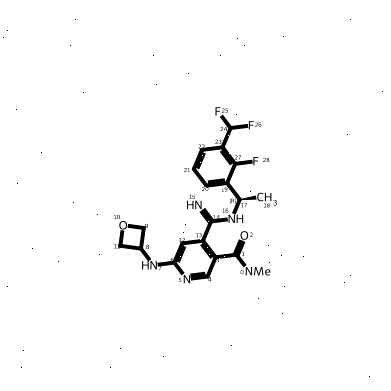 CNC(=O)c1cnc(NC2COC2)cc1C(=N)N[C@H](C)c1cccc(C(F)F)c1F